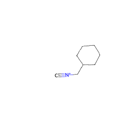 [C-]#[N+]CC1CCCCC1